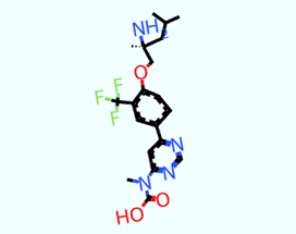 CC(C)C[C@](C)(N)COc1ccc(-c2cc(N(C)C(=O)O)ncn2)cc1C(F)(F)F